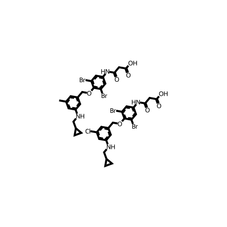 Cc1cc(COc2c(Br)cc(NC(=O)CC(=O)O)cc2Br)cc(NCC2CC2)c1.O=C(O)CC(=O)Nc1cc(Br)c(OCc2cc(Cl)cc(NCC3CC3)c2)c(Br)c1